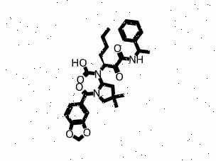 CCCC[C@@H](C(=O)C(=O)NC(C)c1ccccc1)N(C(=O)O)C1CC(C)(C)CN1C(=O)c1ccc2c(c1)OCO2